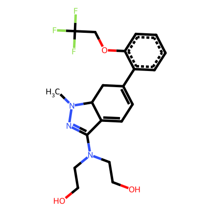 CN1N=C(N(CCO)CCO)C2=CC=C(c3ccccc3OCC(F)(F)F)CC21